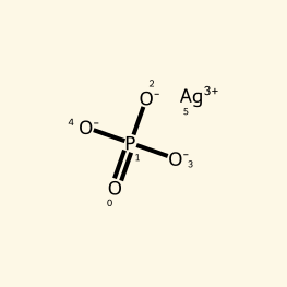 O=P([O-])([O-])[O-].[Ag+3]